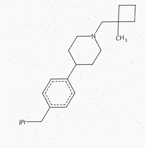 CC(C)Cc1ccc(C2CCN(CC3(C)CCC3)CC2)cc1